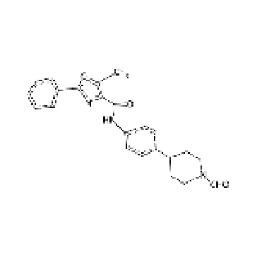 O=CN1CCC(c2ccc(NC(=O)c3nc(-c4ccccc4)oc3C(F)(F)F)cc2)CC1